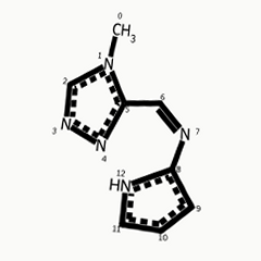 Cn1cnnc1/C=N\c1ccc[nH]1